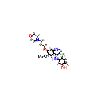 COc1cc2c(Nc3cc(O)c(C)cc3F)cnnc2cc1OCCCN1CCOCC1